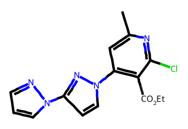 CCOC(=O)c1c(-n2ccc(-n3cccn3)n2)cc(C)nc1Cl